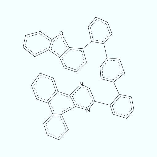 c1ccc(-c2cnc3c4ccccc4c4ccccc4c3n2)c(-c2ccc(-c3ccccc3-c3cccc4c3oc3ccccc34)cc2)c1